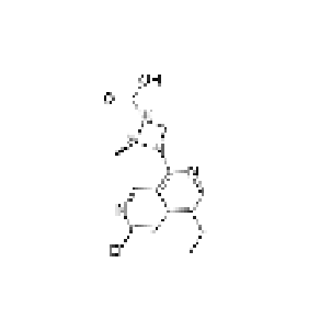 CC(C)c1cnc(N2C[C@@H](C(=O)O)[C@@H]2C)c2cnc(Cl)cc12